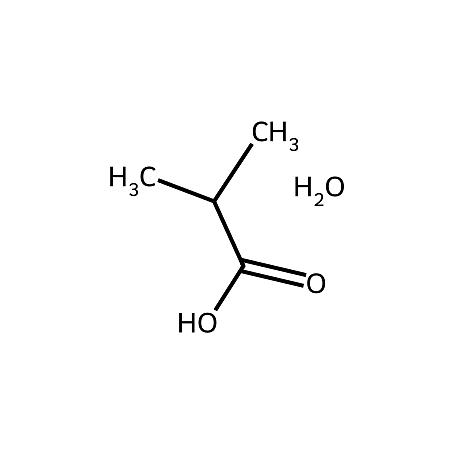 CC(C)C(=O)O.O